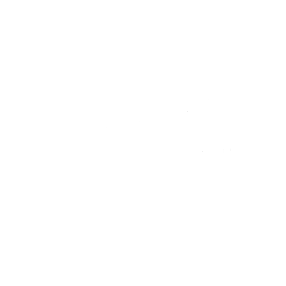 COc1cccc(C(=O)OC(=O)c2ccccc2)c1OC